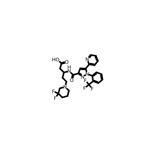 O=C(O)CC(CCN1CCCC(F)(F)C1)NC(=O)c1cc(-c2ccccn2)n(-c2ccccc2C(F)(F)F)n1